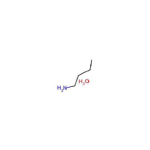 CCCCN.O